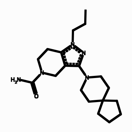 CCCn1nc(N2CCC3(CCCC3)CC2)c2c1CCN(C(N)=O)C2